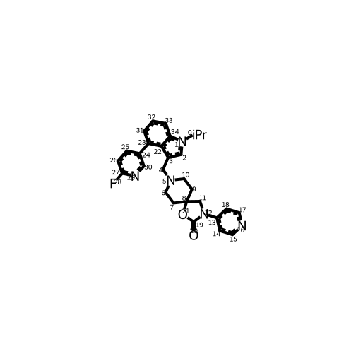 CC(C)n1cc(CN2CCC3(CC2)CN(c2ccncc2)C(=O)O3)c2c(-c3ccc(F)nc3)cccc21